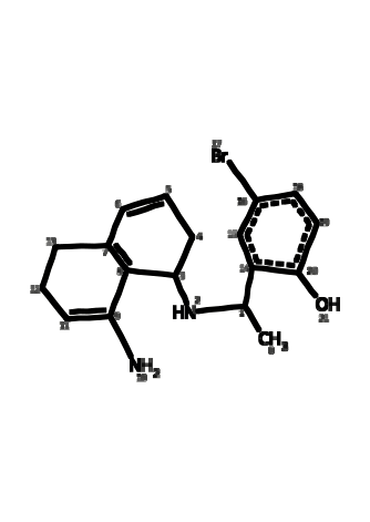 CC(NC1CC=CC2=C1C(N)=CCC2)c1cc(Br)ccc1O